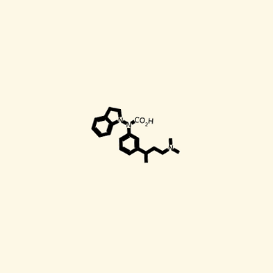 CC(CCN(C)C)c1cccc(N(C(=O)O)N2CCc3ccccc32)c1